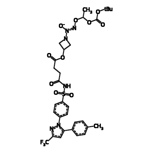 Cc1ccc(-c2cc(C(F)(F)F)nn2-c2ccc(S(=O)(=O)NC(=O)CCC(=O)OC3CN([N+]([O-])=NOC(C)OC(=O)OC(C)(C)C)C3)cc2)cc1